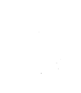 Cc1cc(F)cc(Br)c1OCc1cc(O)[c]2[c](c1COc1c(C)cc(F)cc1Br)[Ge]2([CH](C)C)[CH](C)C